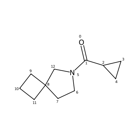 O=C(C1CC1)N1CCC2(CCC2)C1